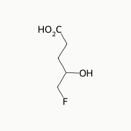 O=C(O)CCC(O)CF